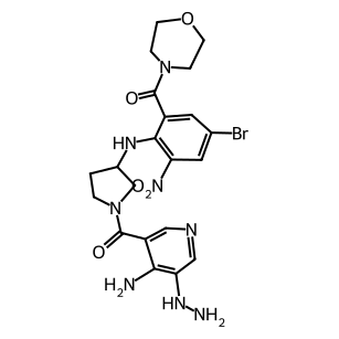 NNc1cncc(C(=O)N2CCC(Nc3c(C(=O)N4CCOCC4)cc(Br)cc3[N+](=O)[O-])C2)c1N